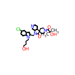 CC(C)(O)C(=O)N1CCC2(CC1)C(=O)N(Cc1cc3cc(Cl)ccc3n1CCCCO)c1cnccc12